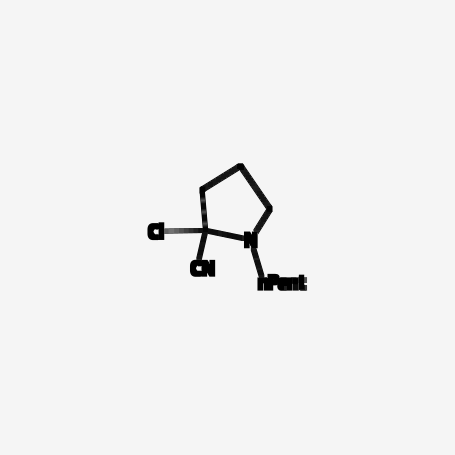 CCCCCN1CCCC1(Cl)C#N